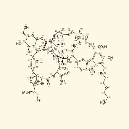 CN[C@H](CC(C)C)C(=O)NC1C(=O)NC(C(N)=O)C(=O)N[C@H]2C(=O)N[C@H]3C(=O)N[C@H](C(=O)N[C@H](C(=O)O)c4cc(O)c(CNCCOCCN)c(O)c4-c4cc3ccc4O)[C@H](O)c3ccc(c(Cl)c3)Oc3cc2cc(c3O[C@@H]2O[C@H](CO)[C@@H](O)[C@H](O)[C@H]2O[C@H]2C[C@](C)(N)[C@H](O)[C@H](C)O2)Oc2ccc(cc2Cl)[C@H]1O